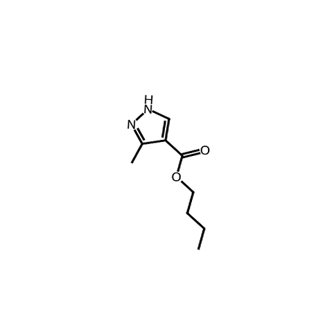 CCCCOC(=O)c1c[nH]nc1C